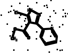 COC(=O)c1c(-c2ccccn2)n[nH]c1Cl